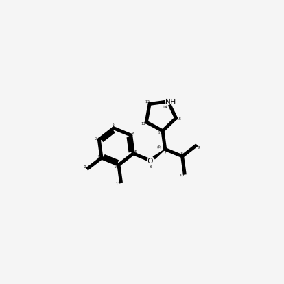 Cc1cccc(O[C@H](C(C)C)C2CCNC2)c1C